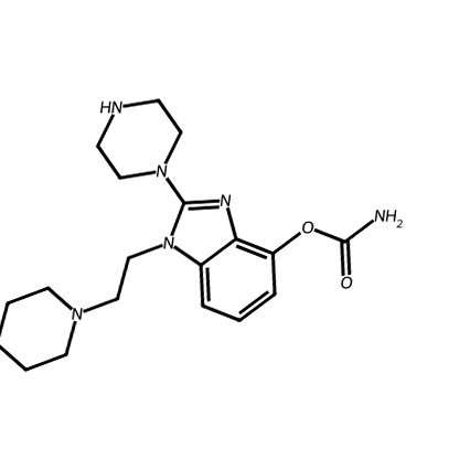 NC(=O)Oc1cccc2c1nc(N1CCNCC1)n2CCN1CCCCC1